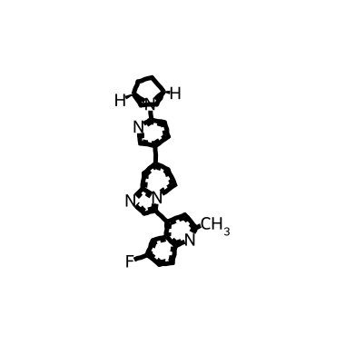 Cc1cc(-c2cnc3cc(-c4ccc(N5[C@H]6CC[C@@H]5CC6)nc4)ccn23)c2cc(F)ccc2n1